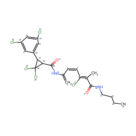 C=C(/C=C\C(Cl)=C(/C)C(=O)NCCCC#N)NC(=O)C1C(c2cc(Cl)cc(Cl)c2)C1(Cl)Cl